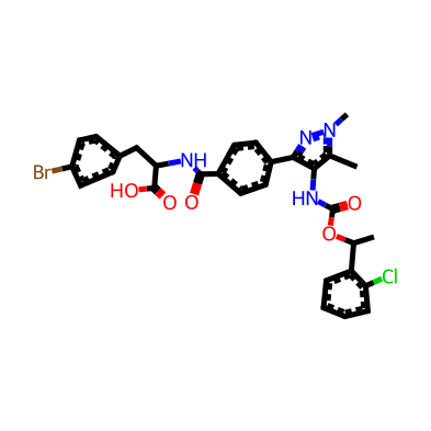 Cc1c(NC(=O)OC(C)c2ccccc2Cl)c(-c2ccc(C(=O)NC(Cc3ccc(Br)cc3)C(=O)O)cc2)nn1C